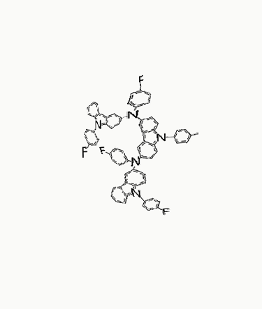 Cc1ccc(-n2c3ccc(N(c4ccc(F)cc4)c4ccc5c(c4)c4ccccc4n5-c4ccc(F)cc4)cc3c3cc(N(c4ccc(F)cc4)c4ccc5c(c4)c4ccccc4n5-c4ccc(F)cc4)ccc32)cc1